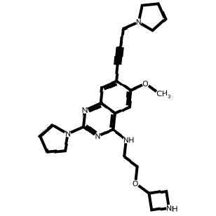 COc1cc2c(NCCOC3CNC3)nc(N3CCCC3)nc2cc1C#CCN1CCCC1